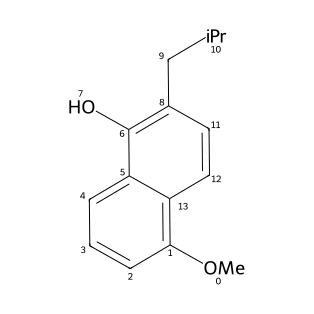 COc1cccc2c(O)c(CC(C)C)ccc12